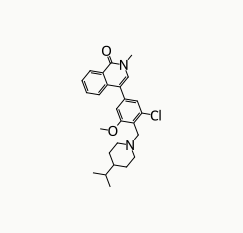 COc1cc(-c2cn(C)c(=O)c3ccccc23)cc(Cl)c1CN1CCC(C(C)C)CC1